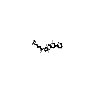 CC(C)NCC=CC(=O)N1CC(Nc2cc(-c3ccncn3)c[nH]c2=O)C1